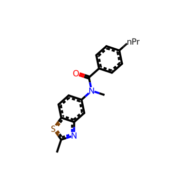 CCCc1ccc(C(=O)N(C)c2ccc3sc(C)nc3c2)cc1